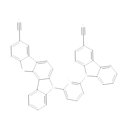 N#Cc1ccc2oc3c(ccc4c3c3ccccc3n4-c3cccc(-n4c5ccccc5c5cc(C#N)ccc54)n3)c2c1